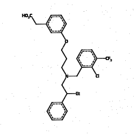 CCC(CN(CCCOc1cccc(CC(=O)O)c1)Cc1cccc(C(F)(F)F)c1Cl)c1ccccc1